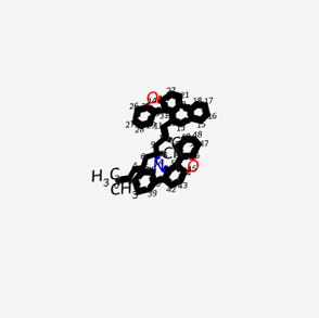 CC(C)=C/C=C/CC(C#N)(C/C(=C/c1cc2ccccc2c2ccc3oc4ccccc4c3c12)C(F)(F)F)n1c2ccccc2c2ccc3oc4ccccc4c3c21